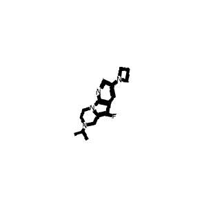 CC(C)N1CCn2c(c(F)c3cc(N4CCC4)cnc32)C1